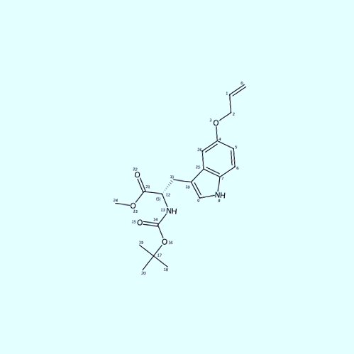 C=CCOc1ccc2[nH]cc(C[C@H](NC(=O)OC(C)(C)C)C(=O)OC)c2c1